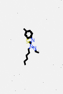 C/C=N/N(CCCCCC)c1nc2ccc(C)cc2s1